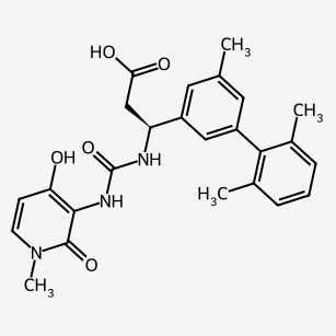 Cc1cc(-c2c(C)cccc2C)cc([C@H](CC(=O)O)NC(=O)Nc2c(O)ccn(C)c2=O)c1